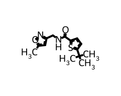 Cc1cc(CNC(=O)c2ccc(C(C)(C)C)s2)no1